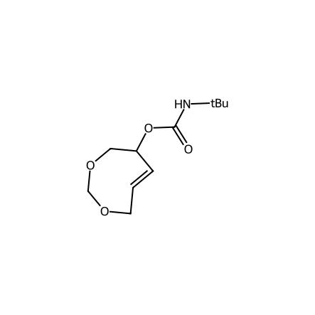 CC(C)(C)NC(=O)OC1/C=C/COCOC1